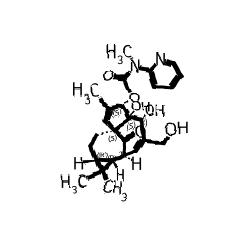 CC1=C[C@@]23CC[C@@H]4[C@H]([C@H](C=C(CO)[C@@H](O)[C@]2(O)[C@H]1OC(=O)N(C)c1ccccn1)C3=O)C4(C)C